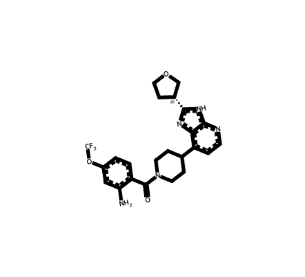 Nc1cc(OC(F)(F)F)ccc1C(=O)N1CCC(c2ccnc3[nH]c([C@@H]4CCOC4)nc23)CC1